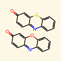 O=c1ccc2nc3ccccc3oc-2c1.O=c1ccc2nc3ccccc3sc-2c1